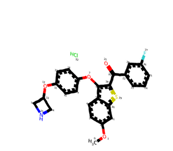 COc1ccc2c(Oc3ccc(OC4CNC4)cc3)c(C(=O)c3cccc(F)c3)sc2c1.Cl